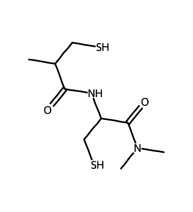 CC(CS)C(=O)NC(CS)C(=O)N(C)C